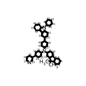 CC1(C)c2ccccc2-c2ccc(N(c3ccc(-c4cccnc4)cc3)c3ccc(-c4ccc5c(c4)c4c(n5-c5ccccc5)C=CCC4)cc3)cc21